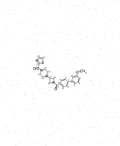 COc1cccc(-c2ccc(C(=O)N3CC(N4CCN(C(=O)c5nccs5)CC4)C3)cc2)c1